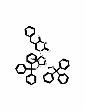 O=c1[nH]c(=O)n([C@@H]2O[C@H](COC(c3ccccc3)(c3ccccc3)c3ccccc3)[C@@H](OC(c3ccccc3)(c3ccccc3)c3ccccc3)[C@H]2O)cc1Cc1ccccc1